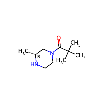 C[C@@H]1CN(C(=O)C(C)(C)C)CCN1